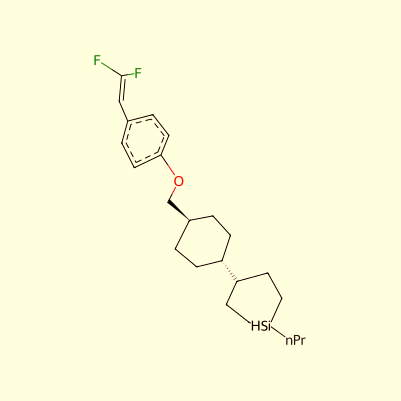 CCC[SiH]1CCC([C@H]2CC[C@H](COc3ccc(C=C(F)F)cc3)CC2)CC1